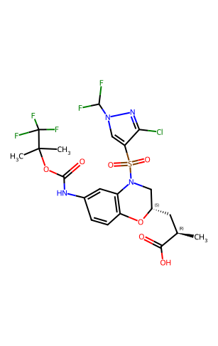 C[C@H](C[C@H]1CN(S(=O)(=O)c2cn(C(F)F)nc2Cl)c2cc(NC(=O)OC(C)(C)C(F)(F)F)ccc2O1)C(=O)O